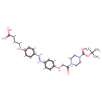 CC(C)(C)OC(=O)N1CCN(C(=O)COc2ccc(N=Nc3ccc(OCCCC(=O)O)cc3)cc2)CC1